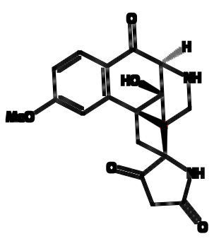 COc1ccc2c(c1)[C@]13CCN[C@H](C2=O)[C@]1(O)CC[C@@]1(C3)NC(=O)CC1=O